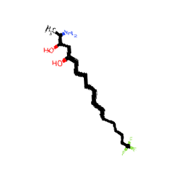 CC(N)C(O)CC(O)CCCCCCCCCCCCC(F)(F)F